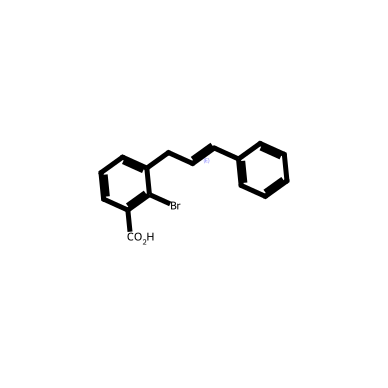 O=C(O)c1cccc(C/C=C/c2ccccc2)c1Br